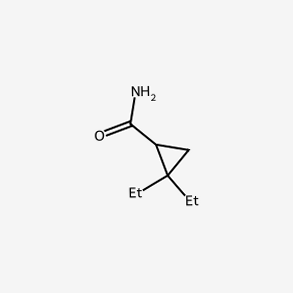 CCC1(CC)CC1C(N)=O